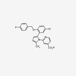 Cc1ccc(-c2cc(Cl)ccc2OCc2ccc(F)cc2)n1-c1cc(C(=O)O)ccn1